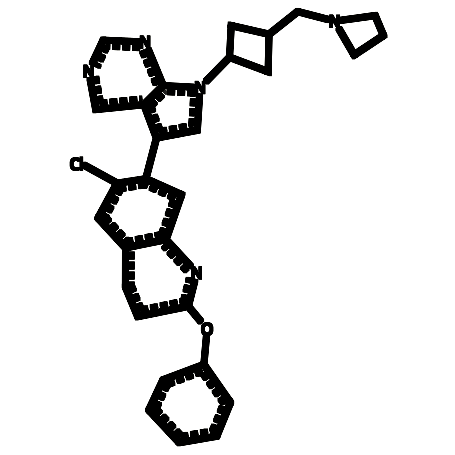 Clc1cc2ccc(Oc3ccccc3)nc2cc1-c1cn(C2CC(CN3CCC3)C2)c2ncncc12